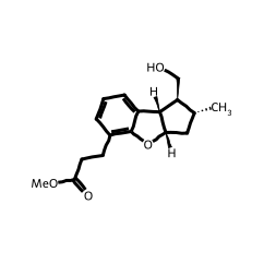 COC(=O)CCc1cccc2c1O[C@H]1C[C@@H](C)[C@H](CO)[C@@H]21